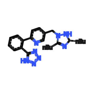 CCCCC1=NC(CCCC)NN1Cc1ccc(-c2ccccc2-c2nnn[nH]2)nc1